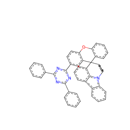 c1ccc(-c2nc(-c3ccccc3)nc(-c3ccc4c(c3)C3(c5ccccc5O4)c4ccccc4-n4c5ccccc5c5cccc3c54)n2)cc1